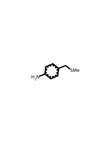 [CH2]SCc1ccc(N)cc1